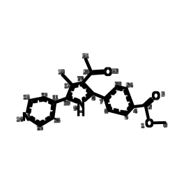 COC(=O)c1ccc(-c2[nH]c(-c3ccncc3)c(C)c2C(C)=O)cc1